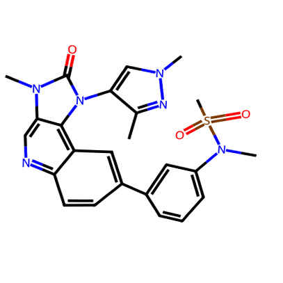 Cc1nn(C)cc1-n1c(=O)n(C)c2cnc3ccc(-c4cccc(N(C)S(C)(=O)=O)c4)cc3c21